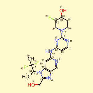 C[C@H](n1c(CO)nc2cnc(Nc3ccnc(N4CC[C@H](O)[C@H](F)C4)n3)cc21)C(C)(F)F